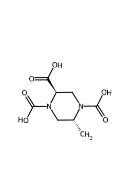 C[C@@H]1CN(C(=O)O)[C@@H](C(=O)O)CN1C(=O)O